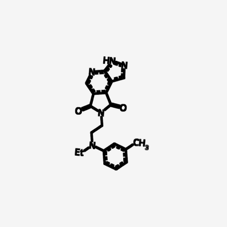 CCN(CCN1C(=O)c2cnc3[nH]ncc3c2C1=O)c1cccc(C)c1